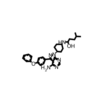 CC(C)CCC(O)N[C@H]1CC[C@@H](n2nc(-c3ccc(Oc4ccccc4)cc3)c3c(N)ncnc32)CC1